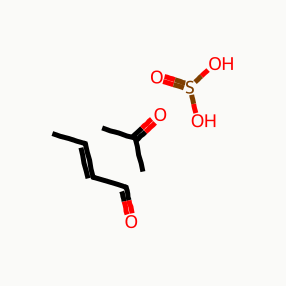 C/C=C/C=O.CC(C)=O.O=S(O)O